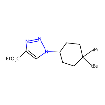 CCOC(=O)c1cn(C2CCC(C(C)C)(C(C)(C)C)CC2)nn1